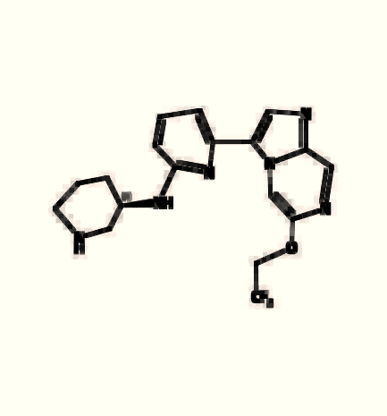 FC(F)(F)COc1cn2c(-c3cccc(N[C@@H]4CCCNC4)n3)cnc2cn1